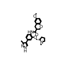 COc1ccc2c(c1)CC(C(=O)Nc1ccc(-c3c[nH]nc3C)cc1OC[C@@H]1CCCN1C)CO2